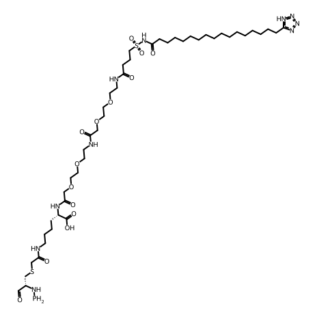 O=C[C@H](CSCC(=O)NCCCC[C@H](NC(=O)COCCOCCNC(=O)COCCOCCNC(=O)CCCS(=O)(=O)NC(=O)CCCCCCCCCCCCCCCCc1nnn[nH]1)C(=O)O)NP